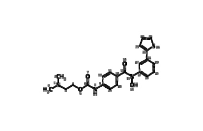 CN(C)CCOC(=O)Nc1ccc(C(=O)N(O)c2cccc(-c3cccs3)c2)cc1